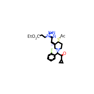 CCOC(=O)CCn1nnnc1/C=C1/CN(C(C(=O)C2CC2)c2ccccc2F)CCC1SC(C)=O